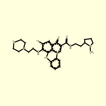 CN1CCCC1CCNC(=O)c1cn2c3c(c(NCCN4CCOCC4)c(F)cc3c1=O)Oc1ccccc1-2